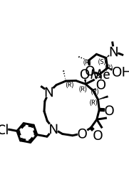 CO[C@]1(C)C[C@@H](C)CN(C)CCCN(Cc2ccc(Cl)cc2)CCOC(=O)C(C)(C)C(=O)[C@H](C)[C@H]1O[C@@H]1O[C@H](C)C[C@H](N(C)C)[C@H]1O